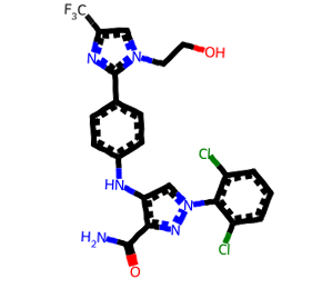 NC(=O)c1nn(-c2c(Cl)cccc2Cl)cc1Nc1ccc(-c2nc(C(F)(F)F)cn2CCO)cc1